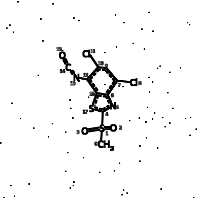 CS(=O)(=O)c1nc2c(Cl)cc(Cl)c(N=C=O)c2s1